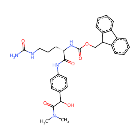 CN(C)C(=O)C(O)c1ccc(NC(=O)[C@H](CCCNC(N)=O)NC(=O)OCC2c3ccccc3-c3ccccc32)cc1